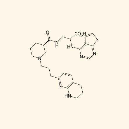 O=C(O)C(CNC(=O)[C@@H]1CCCN(CCCc2ccc3c(n2)NCCC3)C1)Nc1ncnc2sccc12